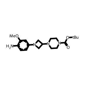 COc1cc(N2CC(N3CCN(C(=O)OC(C)(C)C)CC3)C2)ccc1N